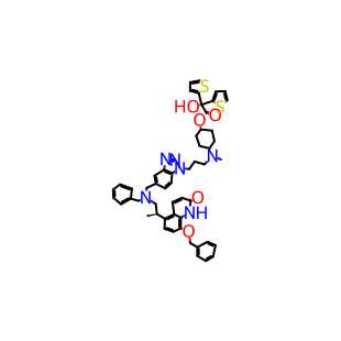 C[C@@H](CN(Cc1ccccc1)Cc1ccc2c(c1)nnn2CCCN(C)[C@H]1CC[C@H](OC(=O)C(O)(c2cccs2)c2cccs2)CC1)c1ccc(OCc2ccccc2)c2[nH]c(=O)ccc12